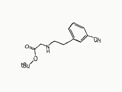 CC(C)(C)OC(=O)CNCCc1cccc(O)c1